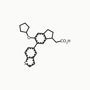 O=C(O)CC1CCc2cc(OC3CCCC3)c(-c3ccc4sccc4c3)cc21